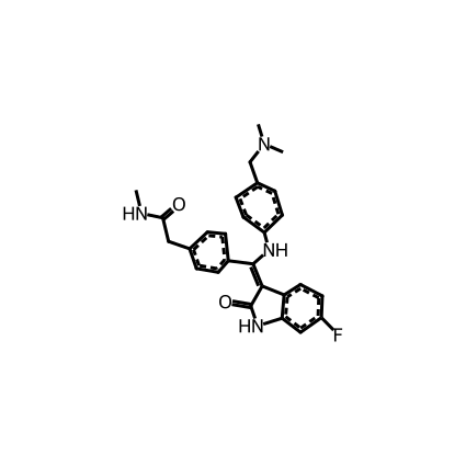 CNC(=O)Cc1ccc(C(Nc2ccc(CN(C)C)cc2)=C2C(=O)Nc3cc(F)ccc32)cc1